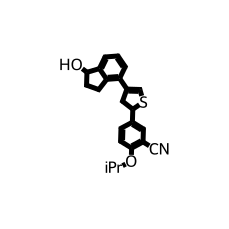 CC(C)Oc1ccc(C2CC(c3cccc4c3CCC4O)=CS2)cc1C#N